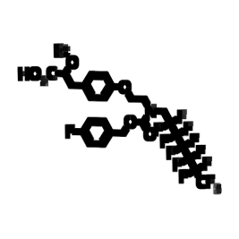 CCOC(Cc1ccc(OCCN(CC(F)(F)C(F)(F)C(F)(F)C(F)(F)C(F)(F)C(F)(F)F)C(=O)OCc2ccc(F)cc2)cc1)C(=O)O